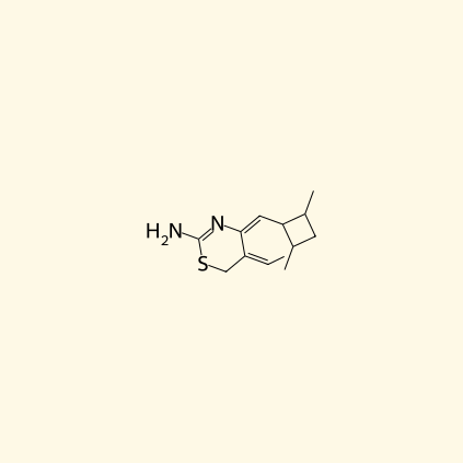 C/C=C1/CSC(N)=N/C1=C/C1C(C)CC1C